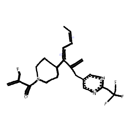 C=C(F)C(=O)N1CCC(/C(=C/C=C\C)C(=C)Cc2cnc(C(F)(F)F)nc2)CC1